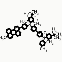 Cc1ccc(N(c2ccc(-c3ccc(N(c4ccc(-c5ccc6c7cccc8c(C)ccc(c9cccc5c96)c87)cc4)c4c(C)cc(C(C)(C)C)cc4C)cc3)cc2)c2c(C)cc(C(C)(C)C)cc2C)cc1